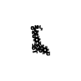 CCn1c(=O)[nH]/c(=N\c2ccc(Oc3nc(C(N)=O)cs3)cc2)n(Cc2ccc(Cl)cc2)c1=O